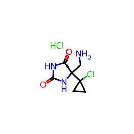 Cl.NCC1(C2(Cl)CC2)NC(=O)NC1=O